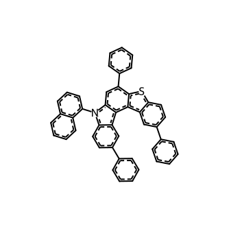 c1ccc(-c2ccc3sc4c(-c5ccccc5)cc5c(c6cc(-c7ccccc7)ccc6n5-c5cccc6ccccc56)c4c3c2)cc1